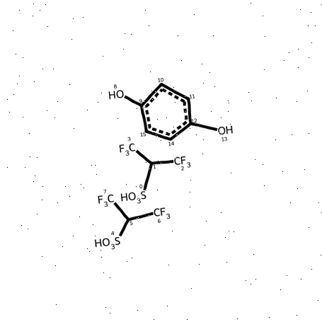 O=S(=O)(O)C(C(F)(F)F)C(F)(F)F.O=S(=O)(O)C(C(F)(F)F)C(F)(F)F.Oc1ccc(O)cc1